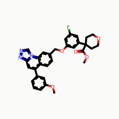 COC(=O)C1(c2cc(F)cc(OCc3ccc4c(-c5cccc(OC)c5)cc5nncn5c4c3)c2)CCOCC1